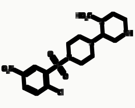 O=C(O)N1CCNCC1N1CCN(S(=O)(=O)c2cc([N+](=O)[O-])ccc2Cl)CC1